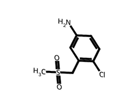 CS(=O)(=O)Cc1cc(N)ccc1Cl